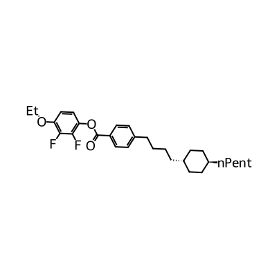 CCCCC[C@H]1CC[C@H](CCCCc2ccc(C(=O)Oc3ccc(OCC)c(F)c3F)cc2)CC1